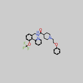 O=C(NCc1cccc(OC(F)(F)F)c1-c1ccccn1)C1CCN(CCOc2ccccc2)CC1